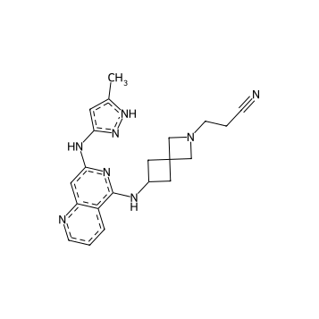 Cc1cc(Nc2cc3ncccc3c(NC3CC4(C3)CN(CCC#N)C4)n2)n[nH]1